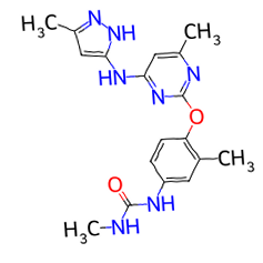 CNC(=O)Nc1ccc(Oc2nc(C)cc(Nc3cc(C)n[nH]3)n2)c(C)c1